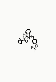 O=C(Nc1nn(Cc2ccc(OC(F)F)cc2)c2ccccc12)c1cccs1